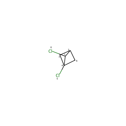 ClC1C2CC1(Cl)C2